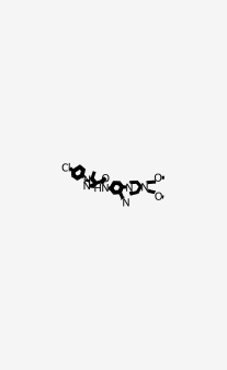 COCCN(CCOC)C1CCN(c2ccc(NC(=O)c3cnn(-c4ccc(Cl)cc4)c3C)cc2C#N)CC1